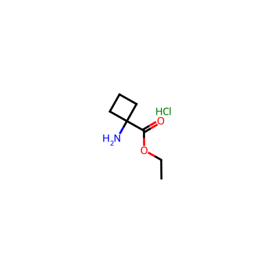 CCOC(=O)C1(N)CCC1.Cl